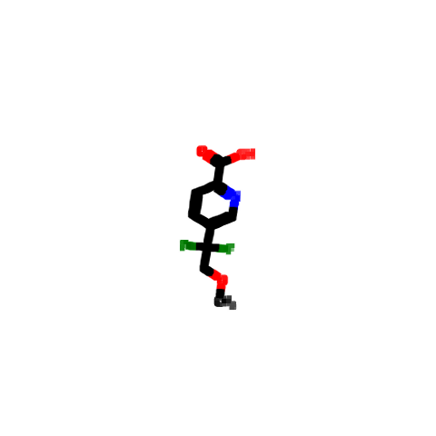 COCC(F)(F)c1ccc(C(=O)O)nc1